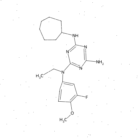 CCN(c1ccc(OC)c(F)c1)c1nc(N)nc(NC2CCCCCC2)n1